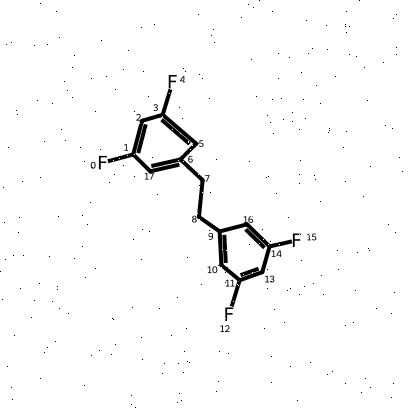 Fc1cc(F)cc(CCc2cc(F)cc(F)c2)c1